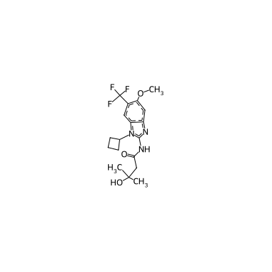 COc1cc2nc(NC(=O)CC(C)(C)O)n(C3CCC3)c2cc1C(F)(F)F